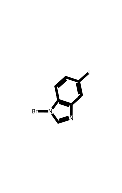 Brn1cnc2cc(I)ccc21